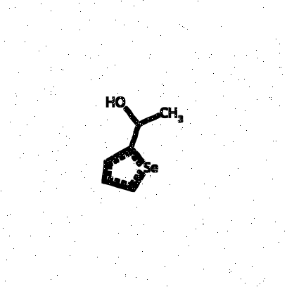 CC(O)c1ccc[se]1